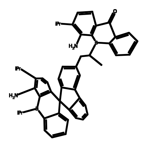 CC(C)B1c2ccccc2C2(c3ccccc3-c3cc(CC(C)B4c5ccccc5C(=O)c5ccc(C(C)C)c(N)c54)ccc32)c2ccc(C(C)C)c(N)c21